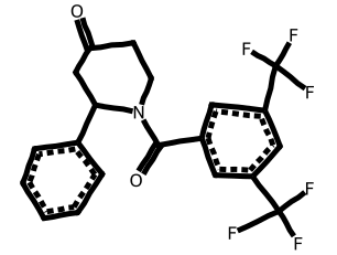 O=C1CCN(C(=O)c2cc(C(F)(F)F)cc(C(F)(F)F)c2)C(c2ccccc2)C1